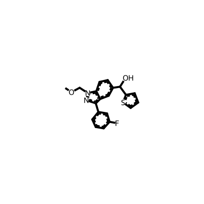 COCn1nc(-c2cccc(F)c2)c2cc(C(O)c3cccs3)ccc21